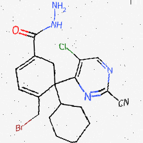 N#Cc1ncc(Cl)c(C2(C3CCCCC3)CC(C(=O)NN)=CC=C2CBr)n1